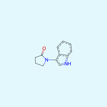 O=C1CCCN1c1c[nH]c2ccccc12